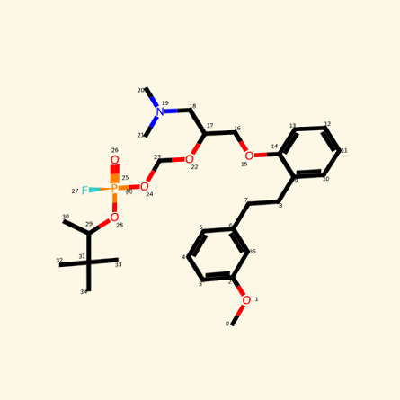 COc1cccc(CCc2ccccc2OCC(CN(C)C)OCO[P@](=O)(F)OC(C)C(C)(C)C)c1